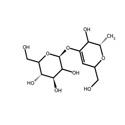 C[C@@H]1OC(CO)C=C(O[C@@H]2OC(CO)[C@@H](O)[C@H](O)C2O)C1O